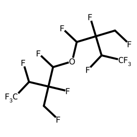 FCC(F)(C(F)OC(F)C(F)(CF)C(F)C(F)(F)F)C(F)C(F)(F)F